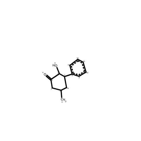 CC1CC(=O)C(O)C(c2ccccc2)C1